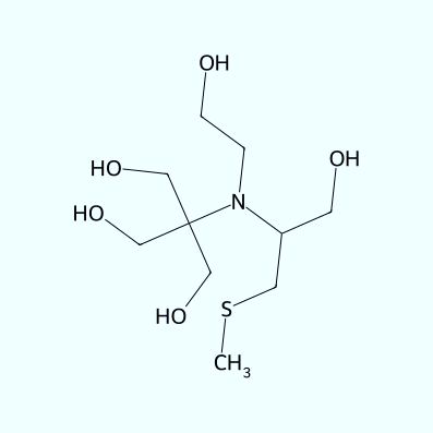 CSCC(CO)N(CCO)C(CO)(CO)CO